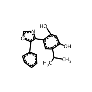 CC(C)c1cc(-c2ncoc2-c2ccccc2)c(O)cc1O